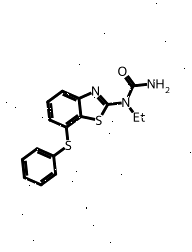 CCN(C(N)=O)c1nc2cccc(Sc3ccccc3)c2s1